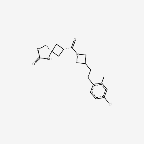 O=C1N[C@]2(CO1)C[C@@H](C(=O)N1CC(COc3ccc(Cl)cc3Cl)C1)C2